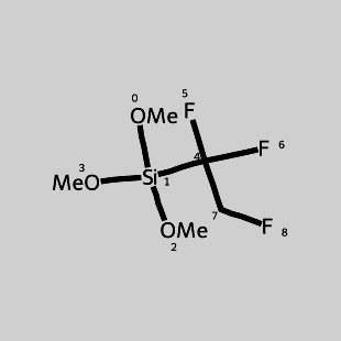 CO[Si](OC)(OC)C(F)(F)CF